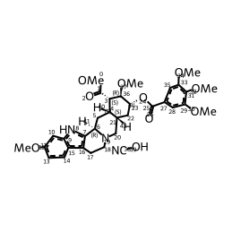 COC(=O)[C@H]1[C@H]2C[C@@H]3c4[nH]c5cc(OC)ccc5c4CCN3C[C@H]2C[C@@H](OC(=O)c2cc(OC)c(OC)c(OC)c2)[C@@H]1OC.N#CO